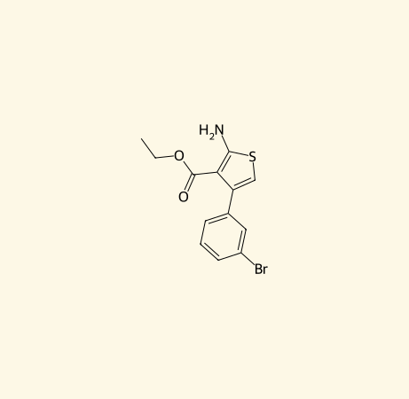 CCOC(=O)c1c(-c2cccc(Br)c2)csc1N